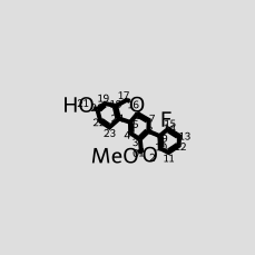 COC(=O)c1cc2c(cc1-c1ccccc1F)OCc1cc(O)ccc1-2